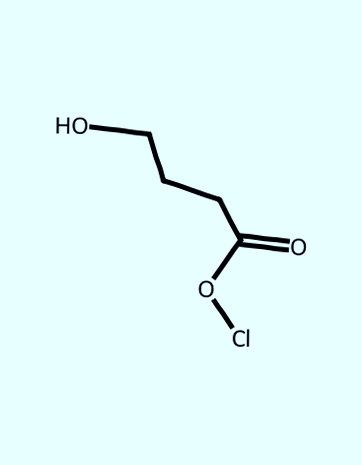 O=C(CCCO)OCl